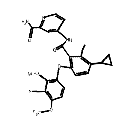 COc1c(Oc2ccc(C3CC3)c(C)c2C(=O)Nc2ccnc(C(N)=O)c2)ccc(OC(F)(F)F)c1F